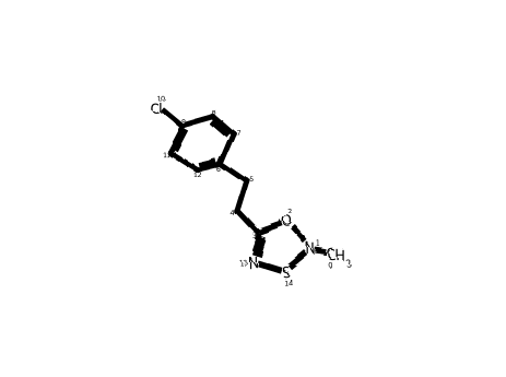 CN1OC(CCc2ccc(Cl)cc2)=NS1